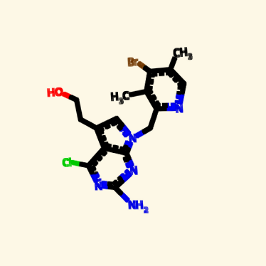 Cc1cnc(Cn2cc(CCO)c3c(Cl)nc(N)nc32)c(C)c1Br